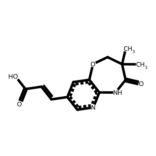 CC1(C)COc2cc(C=CC(=O)O)cnc2NC1=O